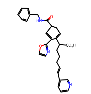 O=C(NCc1ccccc1)C1C=C(c2ncco2)C(C(CCCC=Cc2cccnc2)C(=O)O)=CC1